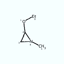 CCOC1CN1C